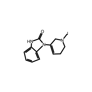 O=c1[nH]c2ccccc2n1C1=CCCN(I)C1